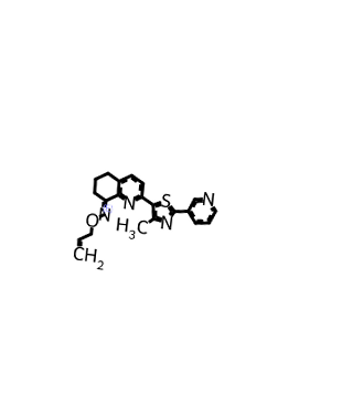 C=CCO/N=C1\CCCc2ccc(-c3sc(-c4cccnc4)nc3C)nc21